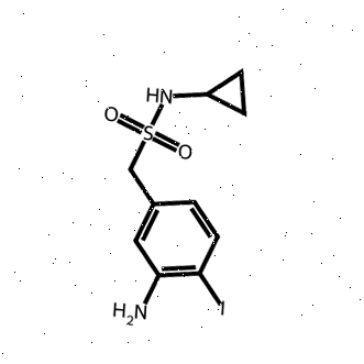 Nc1cc(CS(=O)(=O)NC2CC2)ccc1I